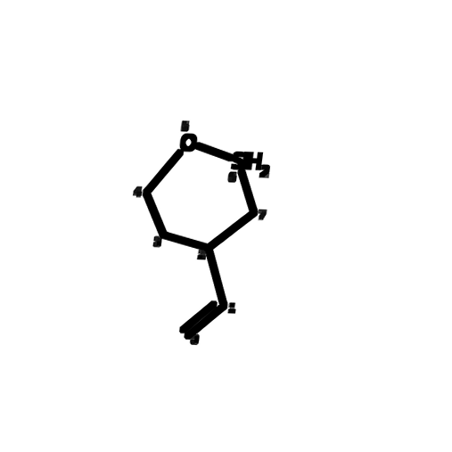 C=CC1CCO[SiH2]C1